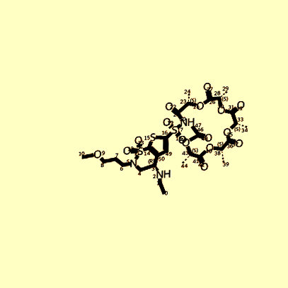 CCN[C@H]1CN(CCCOC)S(=O)(=O)c2sc(S(=O)(=O)NC(=O)[C@H](C)OC(=O)[C@H](C)OC(=O)[C@H](C)OC(=O)[C@H](C)OC(=O)[C@H](C)OC(C)=O)cc21